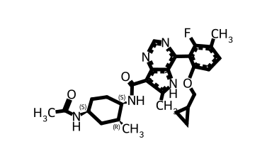 CC(=O)N[C@H]1CC[C@H](NC(=O)c2c(C)[nH]c3c(-c4c(OCC5CC5)ccc(C)c4F)ncnc23)[C@H](C)C1